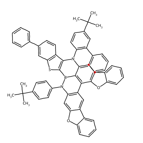 CC(C)(C)c1ccc(N2B3c4sc5cc(-c6ccccc6)ccc5c4N(c4ccc(C(C)(C)C)cc4-c4ccccc4)c4cc5c(oc6ccccc65)c(c43)-c3cc4c(cc32)oc2ccccc24)cc1